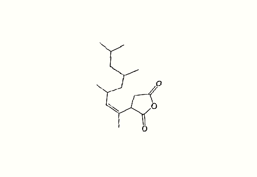 C/C(=C/C(C)CC(C)CC(C)C)C1CC(=O)OC1=O